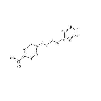 O=C(O)C1=CCN(CCCCc2ccccc2)C=C1